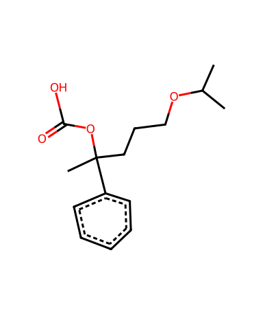 CC(C)OCCCC(C)(OC(=O)O)c1ccccc1